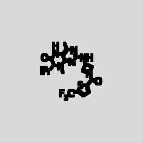 Cc1nc(NC2CN(C(=O)c3ccc(C(F)(F)F)s3)C2)nc2c1NC(=O)[C@H](C(C)C)N2C